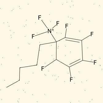 CCCCCC1([N+](F)(F)F)C(F)=C(F)C(F)=C(F)C1F